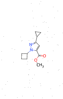 COC(=O)c1cc(C2CC2)nn1C1CCC1